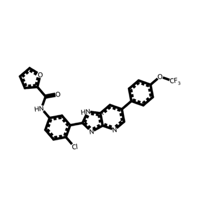 O=C(Nc1ccc(Cl)c(-c2nc3ncc(-c4ccc(OC(F)(F)F)cc4)cc3[nH]2)c1)c1ccco1